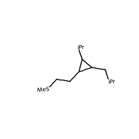 CSCCC1C(CC(C)C)C1C(C)C